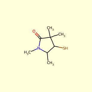 CC1C(S)C(C)(C)C(=O)N1C